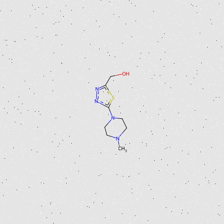 CN1CCN(c2nnc(CO)s2)CC1